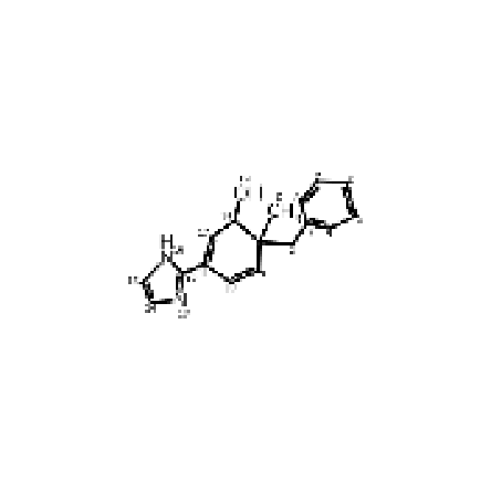 CC1(Cc2ccccc2)C=CC(c2ncc[nH]2)=CC1O